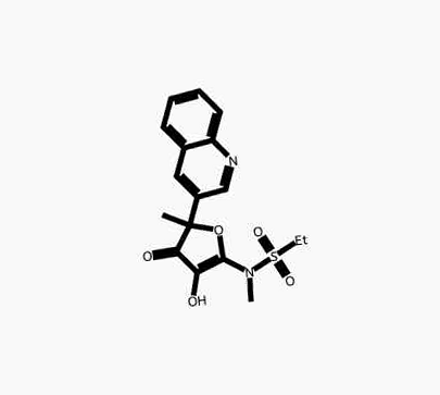 CCS(=O)(=O)N(C)C1=C(O)C(=O)C(C)(c2cnc3ccccc3c2)O1